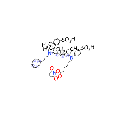 Cc1ccc(S(=O)(=O)O)cc1C(C)(C)C(/C=C/C=C/C=C1/N(CCCCCC(=O)ON2C(=O)CCC2=O)c2ccc(S(=O)(=O)O)cc2C1(C)C)=N/CCCC1=C/C=C\C=C/C=C\1